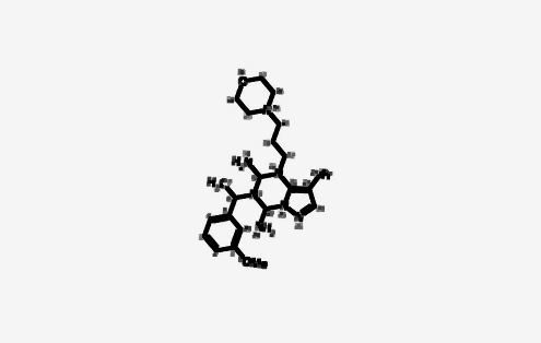 COc1cccc(C(C)N2C(N)N(CCCN3CCOCC3)c3c(C(C)C)cnn3C2N)c1